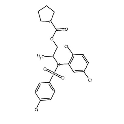 CC(COC(=O)N1CCCC1)N(c1cc(Cl)ccc1Cl)S(=O)(=O)c1ccc(Cl)cc1